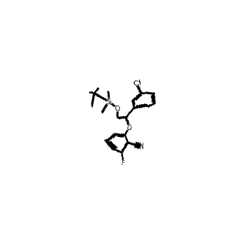 CC(C)(C)[Si](C)(C)OCC(Oc1cccc(F)c1C#N)c1cccc(Cl)c1